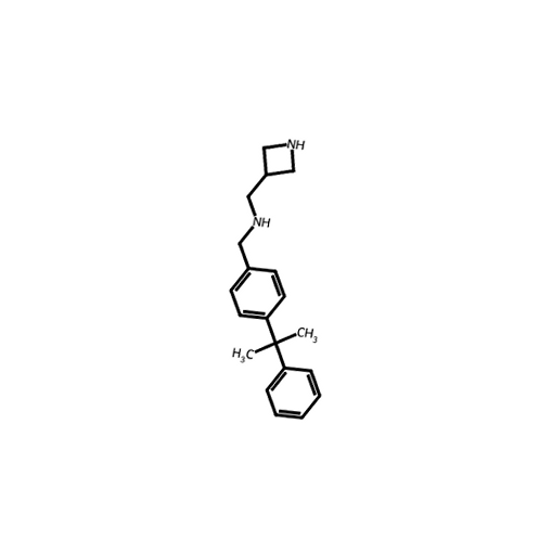 CC(C)(c1ccccc1)c1ccc(CNCC2CNC2)cc1